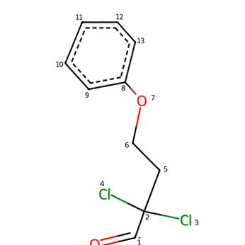 O=[C]C(Cl)(Cl)CCOc1ccccc1